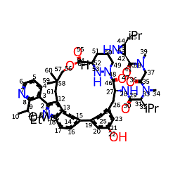 CCn1c(-c2cccnc2[C@H](C)OC)c2c3cc(ccc31)-c1cc(O)cc(c1)C[C@H](NC(=O)[C@H](C(C)C)N(C)C(=O)CN(C)C(=O)[C@H]1N[C@H]1C(C)C)C(=O)N1CCC[C@H](N1)C(=O)OCC(C)(C)C2